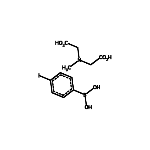 CN(CC(=O)O)CC(=O)O.OB(O)c1ccc(I)cc1